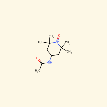 CC(=O)NC1CC(C)(C)[N+](=O)C(C)(C)C1